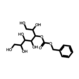 O=C(OCc1ccccc1)OC(C(O)CO)C(O)C(O)C(O)CO